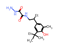 CCC(CNC(=O)C(=O)NN)c1cc(C)c(O)c(C(C)(C)CC)c1